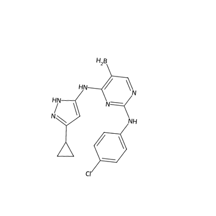 Bc1cnc(Nc2ccc(Cl)cc2)nc1Nc1cc(C2CC2)n[nH]1